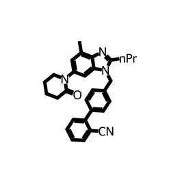 CCCc1nc2c(C)cc(N3CCCCC3=O)cc2n1Cc1ccc(-c2ccccc2C#N)cc1